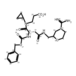 N=C(N)N1CCOC(CNC(=O)C[C@H](NC(=O)OCc2ccccc2)C(=O)N(CCC(=O)O)C2CC2)C1